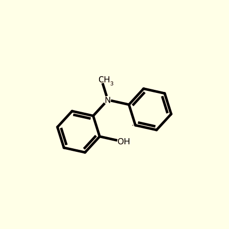 CN(c1[c]cccc1)c1ccccc1O